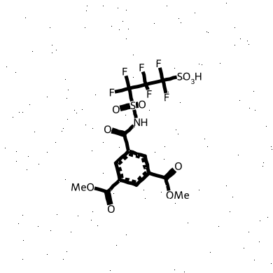 COC(=O)c1cc(C(=O)NS(=O)(=O)C(F)(F)C(F)(F)C(F)(F)S(=O)(=O)O)cc(C(=O)OC)c1